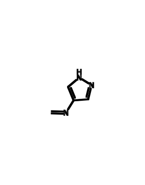 C=Nc1cn[nH]c1